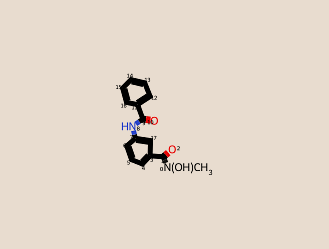 CN(O)C(=O)c1cccc(NC(=O)c2ccccc2)c1